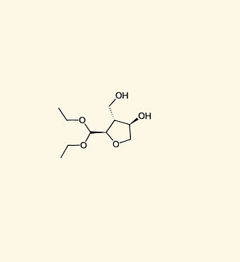 CCOC(OCC)[C@@H]1OC[C@H](O)[C@H]1CO